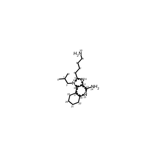 CC(C)Cn1c(CCCCN)nc2c(N)nc3c(c21)CCCC3